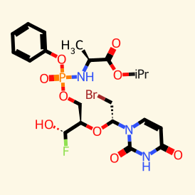 CC(C)OC(=O)[C@H](C)NP(=O)(OC[C@@H](O[C@H](CBr)n1ccc(=O)[nH]c1=O)[C@@H](O)F)Oc1ccccc1